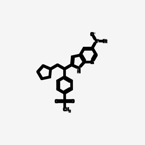 CC[S+]([O-])c1cnc2[nH]c(C(CC3CCCC3)c3ccc(S(C)(=O)=O)cc3)cc2c1